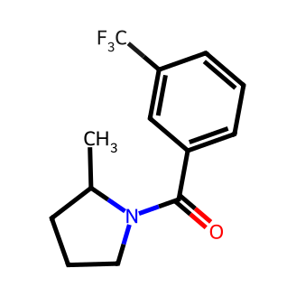 CC1CCCN1C(=O)c1cccc(C(F)(F)F)c1